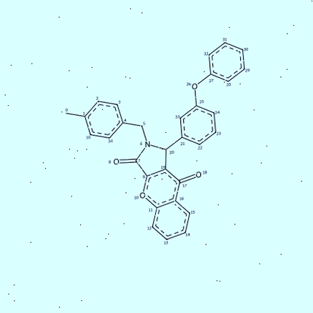 Cc1ccc(CN2C(=O)c3oc4ccccc4c(=O)c3C2c2cccc(Oc3ccccc3)c2)cc1